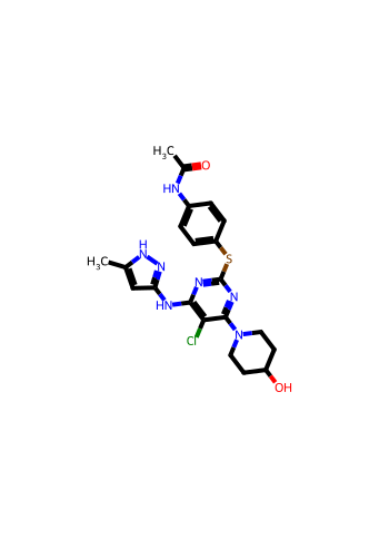 CC(=O)Nc1ccc(Sc2nc(Nc3cc(C)[nH]n3)c(Cl)c(N3CCC(O)CC3)n2)cc1